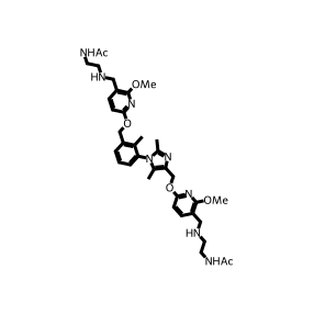 COc1nc(OCc2cccc(-n3c(C)nc(COc4ccc(CNCCNC(C)=O)c(OC)n4)c3C)c2C)ccc1CNCCNC(C)=O